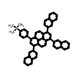 C[Si](C)(C)c1ccc(-c2cc(-c3ccc4ccccc4c3)c3ccc4c(-c5ccc6ccccc6c5)cc(-c5ccc6ccccc6c5)c5ccc2c3c54)cc1